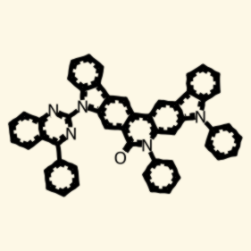 O=c1c2cc3c(cc2c2cc4c5ccccc5n(-c5ccccc5)c4cc2n1-c1ccccc1)c1ccccc1n3-c1nc(-c2ccccc2)c2ccccc2n1